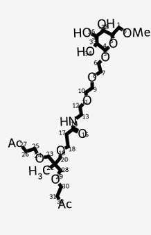 COCC1OC(OCCOCCOCCNC(=O)CCOCC(C)(COCCC(C)=O)COCCC(C)=O)C(O)C(O)C1O